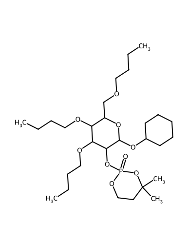 CCCCOCC1OC(OC2CCCCC2)C(OP2(=O)OCCC(C)(C)O2)C(OCCCC)C1OCCCC